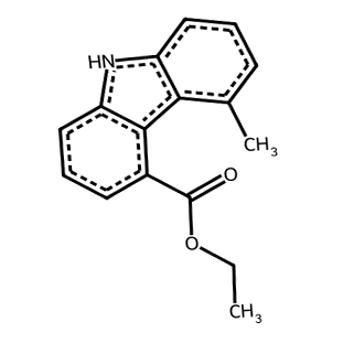 CCOC(=O)c1cccc2[nH]c3cccc(C)c3c12